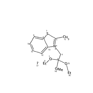 CCOC(C[n+]1c(C)sc2ccccc21)(OC)OCC.[I-]